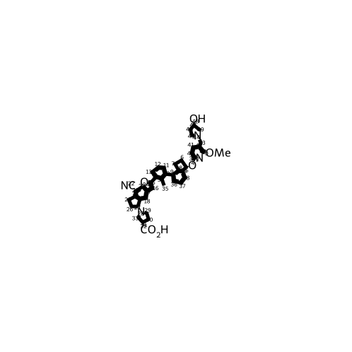 COc1nc(O[C@H]2CCc3c(-c4cccc(-c5cc6cc7c(c(C#N)c6o5)CCC7N5CC[C@@H](C(=O)O)C5)c4C)cccc32)ccc1CN1CC[C@@H](O)C1